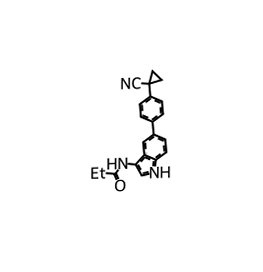 CCC(=O)Nc1c[nH]c2ccc(-c3ccc(C4(C#N)CC4)cc3)cc12